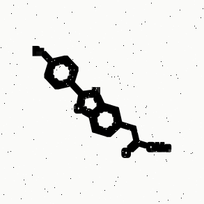 COC(=O)Cc1ccc2oc(-c3ccc(Br)cc3)nc2c1